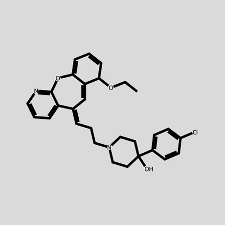 CCOC1C=CC=C2Oc3ncccc3C(=CCCN3CCC(O)(c4ccc(Cl)cc4)CC3)C=C21